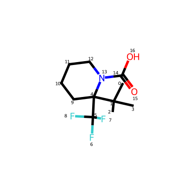 CC(C)(C)C1(C(F)(F)F)CCCCN1C(=O)O